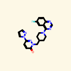 O=c1ccc(-n2cccn2)nn1CC1CCN(c2ncnc3ccc(F)cc23)CC1